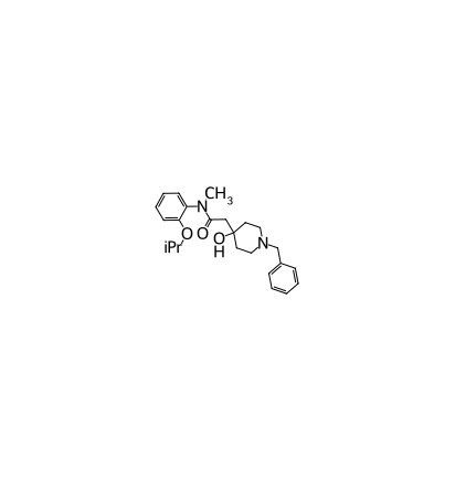 CC(C)Oc1ccccc1N(C)C(=O)CC1(O)CCN(Cc2ccccc2)CC1